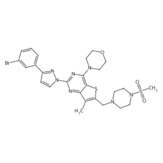 Cc1c(CN2CCN(S(C)(=O)=O)CC2)sc2c(N3CCOCC3)nc(-n3ccc(-c4cccc(Br)c4)n3)nc12